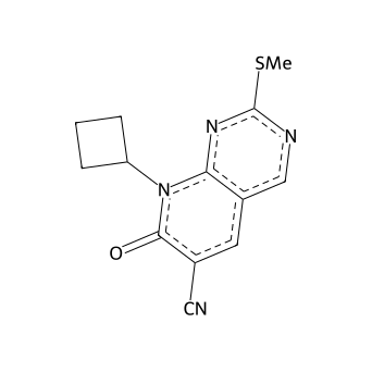 CSc1ncc2cc(C#N)c(=O)n(C3CCC3)c2n1